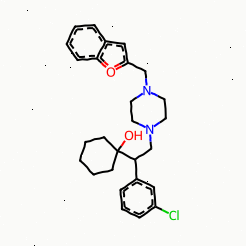 OC1(C(CN2CCN(Cc3cc4ccccc4o3)CC2)c2cccc(Cl)c2)CCCCC1